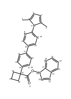 Cc1ccc(C)n1-c1ncc(-c2ccc(C3(C(=O)On4nnc5cccnc54)CCC3)cc2)cn1